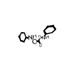 O=C(ONC1CCCCC1)ONC1CCCCC1